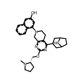 CN1CCC[C@H]1COc1nc2c(c(C3CC4CCC(C3)N4)n1)CCN(c1cc(O)cc3ccccc13)C2